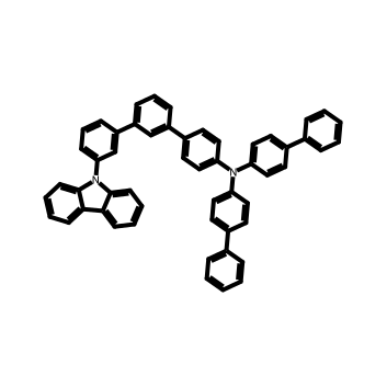 c1ccc(-c2ccc(N(c3ccc(-c4ccccc4)cc3)c3ccc(-c4cccc(-c5cccc(-n6c7ccccc7c7ccccc76)c5)c4)cc3)cc2)cc1